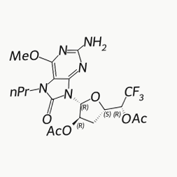 CCCn1c(=O)n([C@@H]2O[C@H]([C@@H](OC(C)=O)C(F)(F)F)C[C@H]2OC(C)=O)c2nc(N)nc(OC)c21